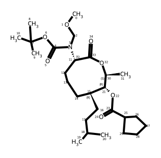 COCN(C(=O)OC(C)(C)C)[C@H]1CCC[C@H](CCC(C)C)[C@@H](OC(=O)C2CCCC2)[C@H](C)OC1=O